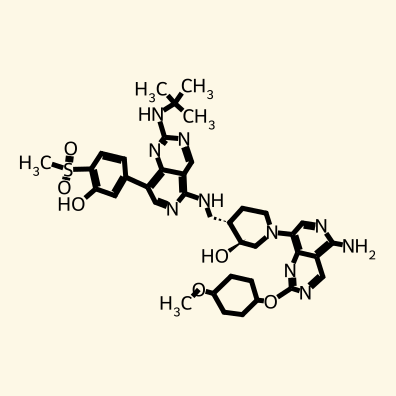 COC1CCC(Oc2ncc3c(N)ncc(N4CC[C@@H](CNc5ncc(-c6ccc(S(C)(=O)=O)c(O)c6)c6nc(NC(C)(C)C)ncc56)[C@H](O)C4)c3n2)CC1